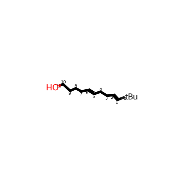 CC(C)(C)C=CCCC=CCCCCO